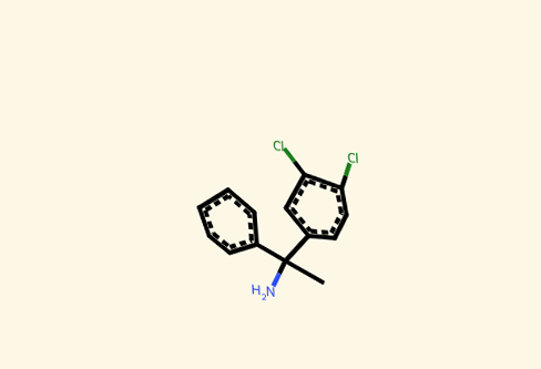 CC(N)(c1ccccc1)c1ccc(Cl)c(Cl)c1